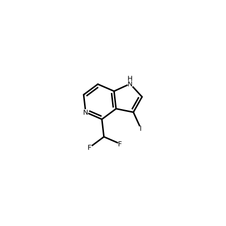 FC(F)c1nccc2[nH]cc(I)c12